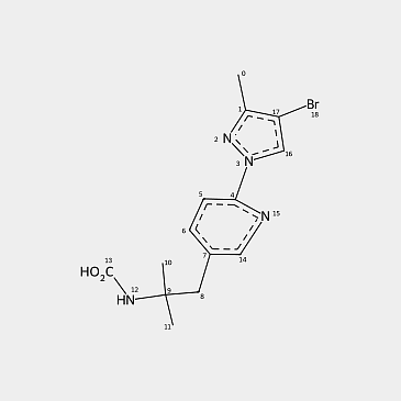 Cc1nn(-c2ccc(CC(C)(C)NC(=O)O)cn2)cc1Br